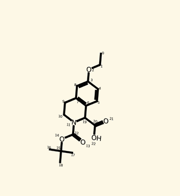 CCOc1ccc2c(c1)CCN(C(=O)OC(C)(C)C)C2C(=O)O